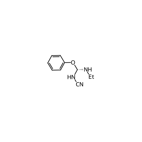 CCN[C@H](NC#N)Oc1ccccc1